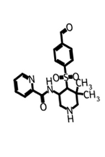 CC1(C)CNCC(NC(=O)c2ccccn2)C1S(=O)(=O)c1ccc(C=O)cc1